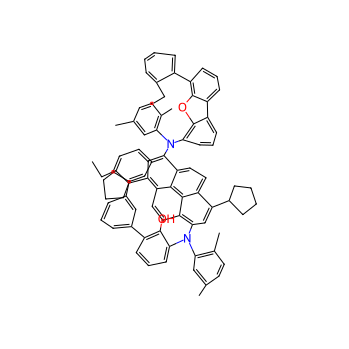 CCc1ccccc1-c1cccc(-c2cccc(N(c3cc(C)ccc3C)c3cc(C4CCCC4)c4ccc5c(N(c6cc(C)ccc6C)c6cccc7c6oc6c(-c8ccccc8CC)cccc67)cc(C6CCCC6)c6ccc3c4c65)c2O)c1